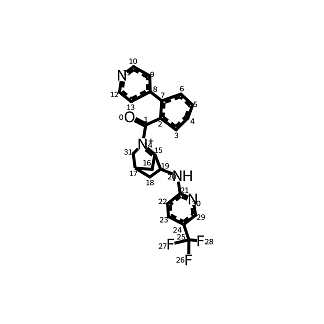 O=C(c1ccccc1-c1ccncc1)[N+]1=C2CC(CC2Nc2ccc(C(F)(F)F)cn2)C1